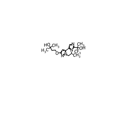 C[C@H]1Cn2nc(OCCC(C)(C)O)cc2-c2cnc(C(C)(O)C(F)(F)F)n21